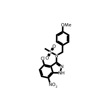 COc1ccc(CN(c2n[nH]c3c([N+](=O)[O-])ccc(Cl)c23)S(C)(=O)=O)cc1